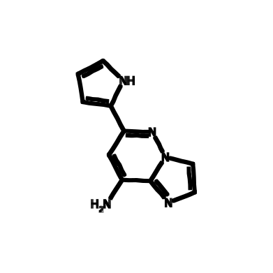 Nc1cc(-c2ccc[nH]2)nn2ccnc12